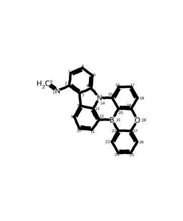 C=Nc1cccc2c1c1cccc3c1n2-c1cccc2c1B3c1ccccc1O2